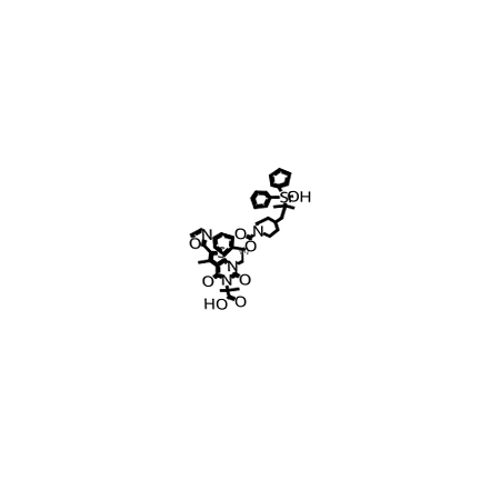 Cc1c(-c2ncco2)sc2c1c(=O)n(C(C)(C)C(=O)O)c(=O)n2C[C@H](OC(=O)N1CCC(CC(C)(C)[Si](O)(c2ccccc2)c2ccccc2)CC1)c1ccccc1